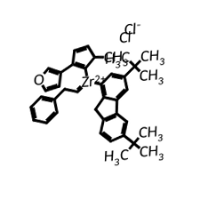 CC1C=CC(c2ccoc2)=[C]1[Zr+2](=[CH]Cc1ccccc1)[c]1cc(C(C)(C)C)cc2c1Cc1ccc(C(C)(C)C)cc1-2.[Cl-].[Cl-]